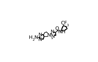 Cn1cc(C(=O)Nc2cccc(C(F)(F)F)c2)nc1N1CCc2nc(N)ncc2C1